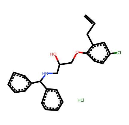 C=CCc1cc(Cl)ccc1OCC(O)CNC(c1ccccc1)c1ccccc1.Cl